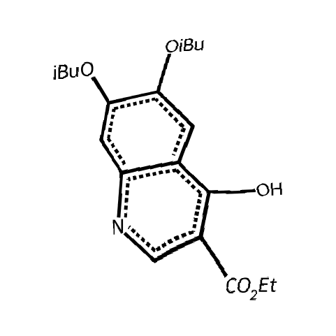 CCOC(=O)c1cnc2cc(OCC(C)C)c(OCC(C)C)cc2c1O